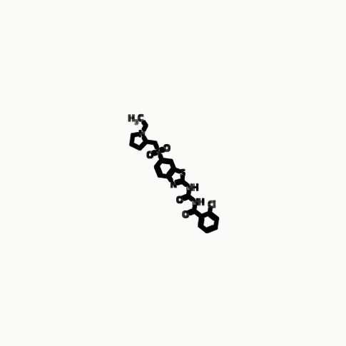 CCN1CCCC1CS(=O)(=O)c1ccc2nc(NC(=O)NC(=O)c3ccccc3Cl)sc2c1